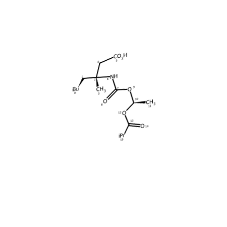 CC[C@H](C)C[C@](C)(CC(=O)O)NC(=O)O[C@@H](C)OC(=O)C(C)C